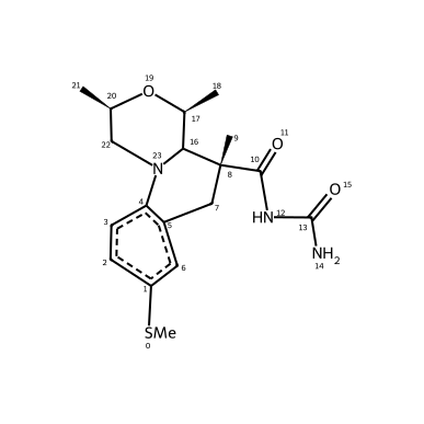 CSc1ccc2c(c1)C[C@@](C)(C(=O)NC(N)=O)C1[C@H](C)O[C@H](C)CN21